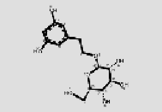 OC[C@H]1O[C@@H](OCCc2cc(O)cc(O)c2)[C@H](O)[C@@H](O)[C@@H]1O